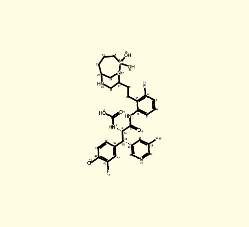 O=C(O)N[C@H](C(=O)Nc1cccc(F)c1CCC1CNC2CCCS(O)(O)N1C2)[C@H](c1cncc(F)c1)c1ccc(Cl)c(F)c1